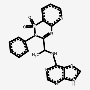 CC(Nc1ncnc2[nH]cnc12)C1=Nc2ncccc2S(=O)(=O)N1c1ccccc1